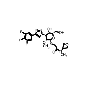 CO[C@@H]1[C@@H](n2cc(-c3cc(F)c(F)c(F)c3)nn2)[C@@H](O)[C@@H](CO)O[C@H]1SCC(=O)N(C)C1COC1